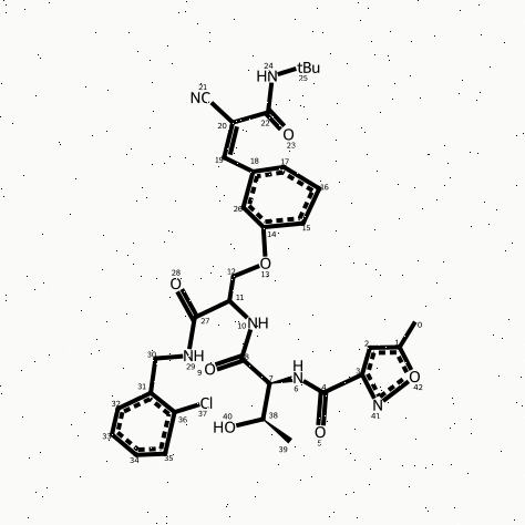 Cc1cc(C(=O)N[C@H](C(=O)NC(COc2cccc(C=C(C#N)C(=O)NC(C)(C)C)c2)C(=O)NCc2ccccc2Cl)[C@@H](C)O)no1